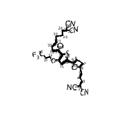 N#CC(C#N)=C/C=C/c1ccc(-c2cc(OCCC(F)(F)F)c(-c3ccc(CCC=C(C#N)C#N)o3)s2)o1